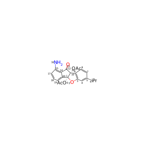 CC(=O)O[C@@]12Oc3cc(C(C)C)ccc3[C@]1(OC(C)=O)C(=O)c1c(N)cccc12